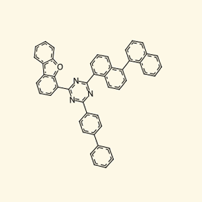 c1ccc(-c2ccc(-c3nc(-c4cccc5c(-c6cccc7ccccc67)cccc45)nc(-c4cccc5c4oc4ccccc45)n3)cc2)cc1